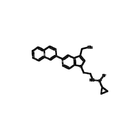 CC(C)(C)Cc1cn(CCN[S+]([O-])C2CC2)c2ccc(-c3ccc4ccccc4c3)cc12